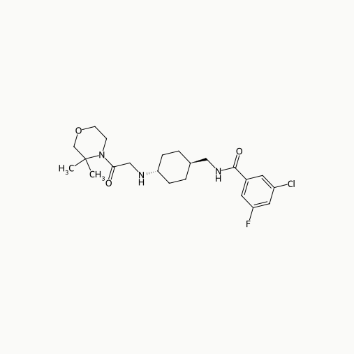 CC1(C)COCCN1C(=O)CN[C@H]1CC[C@H](CNC(=O)c2cc(F)cc(Cl)c2)CC1